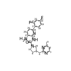 Cc1ccnc(CC2CCN(C(=O)Nc3nc(-c4ccc(F)cc4F)ccc3N)C2)n1